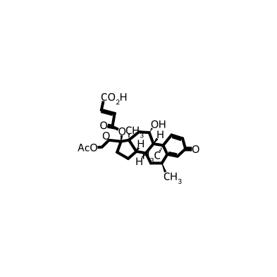 CC(=O)OCC(=O)[C@@]1(OC(=O)/C=C/C(=O)O)CC[C@H]2[C@@H]3C[C@H](C)C4=CC(=O)C=C[C@]4(C)[C@H]3[C@@H](O)C[C@@]21C